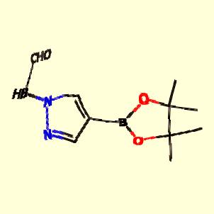 CC1(C)OB(c2cnn(BC=O)c2)OC1(C)C